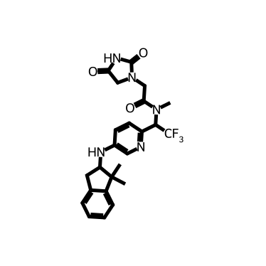 CN(C(=O)CN1CC(=O)NC1=O)C(c1ccc(NC2Cc3ccccc3C2(C)C)cn1)C(F)(F)F